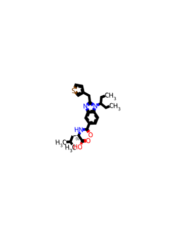 CCC(CC)n1c(Cc2ccsc2)nc2cc(C(=O)N[C@@H](CC(C)C)C(=O)O)ccc21